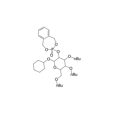 CCCCOCC1OC(OC2CCCCC2)C(OP2(=O)OCc3ccccc3CO2)C(OCCCC)C1OCCCC